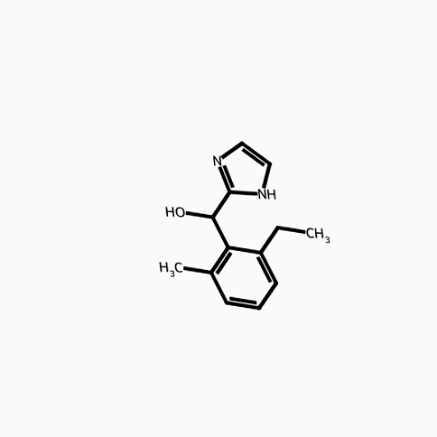 CCc1cccc(C)c1C(O)c1ncc[nH]1